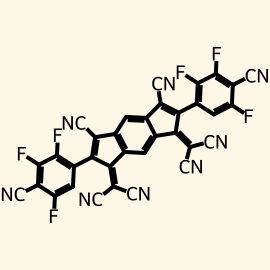 N#CC(C#N)=C1C(c2cc(F)c(C#N)c(F)c2F)=C(C#N)c2cc3c(cc21)C(=C(C#N)C#N)C(c1cc(F)c(C#N)c(F)c1F)=C3C#N